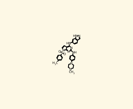 Cc1ccc(S(=O)(=O)n2ccc3c(Nc4ccc5cn[nH]c5c4)nc(Nc4ccc(N5CCN(C)CC5)cc4)nc32)cc1